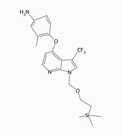 Cc1cc(N)ccc1Oc1ccnc2c1c(C(F)(F)F)cn2COCC[Si](C)(C)C